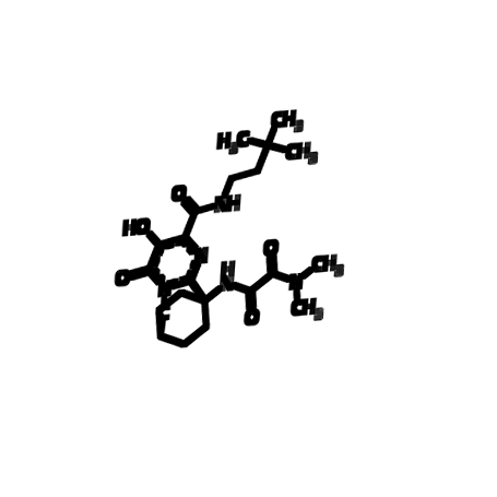 CN(C)C(=O)C(=O)NC12CCC(CC1)Cn1c2nc(C(=O)NCCC(C)(C)C)c(O)c1=O